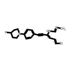 CC/C=C/C=C(/C#Cc1ccc(N2CCC(F)CC2)cc1)N/C=N/C